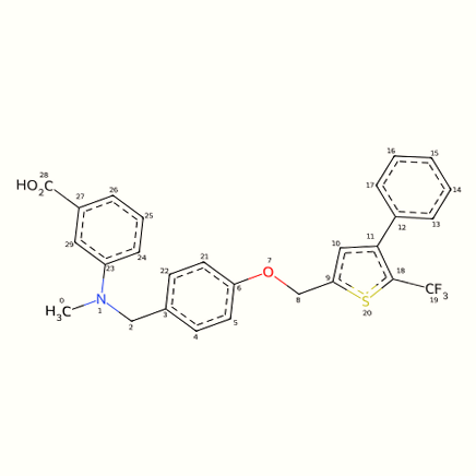 CN(Cc1ccc(OCc2cc(-c3ccccc3)c(C(F)(F)F)s2)cc1)c1cccc(C(=O)O)c1